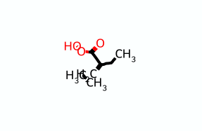 C=C(CC)C(=O)OO.CC